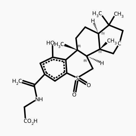 C=C(NCC(=O)O)c1cc(O)c2c(c1)S(=O)(=O)C[C@@H]1[C@@]3(C)CCCC(C)(C)[C@@H]3CC[C@@]21C